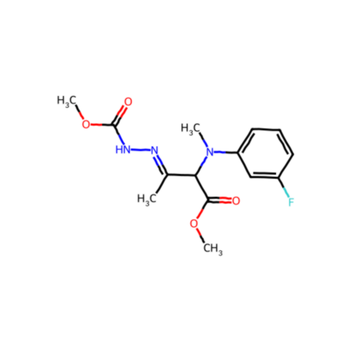 COC(=O)NN=C(C)C(C(=O)OC)N(C)c1cccc(F)c1